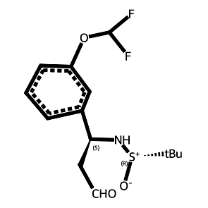 CC(C)(C)[S@+]([O-])N[C@@H](CC=O)c1cccc(OC(F)F)c1